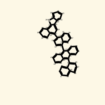 c1ccc2c(-c3c4ccccc4c(-c4ccc(-c5cc6c7ccccc7sc6c6ccccc56)c5ccccc45)c4ccccc34)cccc2c1